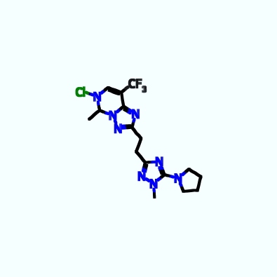 CC1N(Cl)C=C(C(F)(F)F)c2nc(CCc3nc(N4CCCC4)n(C)n3)nn21